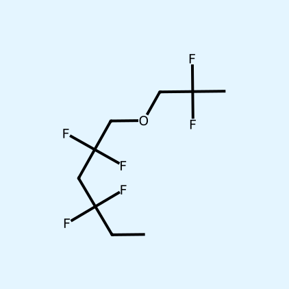 CCC(F)(F)CC(F)(F)COCC(C)(F)F